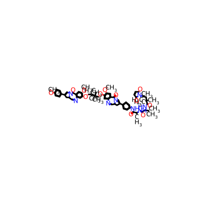 CCC(C)(COc1cc2c(cc1OC)C(=O)N1C=C(c3ccc(NC(=O)C(C)NC(=O)C(NC(=O)C(C)(C)CC(C)(C)N4C(=O)C=CC4=O)C(C)C)cc3)CC1C=N2)C(C)(C)COc1cc2c(cc1OC)C(=O)N1C=C(c3ccc(OC)cc3)CC1C=N2